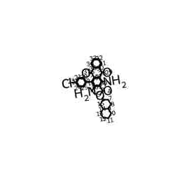 Nc1c(C(=O)OC2CCC3CCCCC3C2)c(N)c(-c2ccc(Cl)cc2)c2c1C(=O)c1ccccc1C2=O